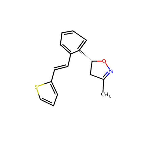 CC1=NO[C@@H](c2ccccc2/C=C/c2cccs2)C1